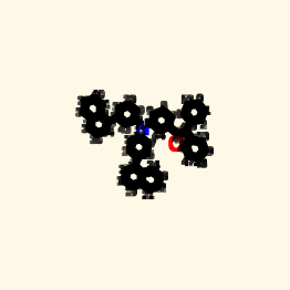 c1ccc(-c2c(-c3cccc(N(c4ccc(-c5cccc6ccccc56)cc4)c4cccc(-c5cccc6ccccc56)c4)c3)oc3ccccc23)cc1